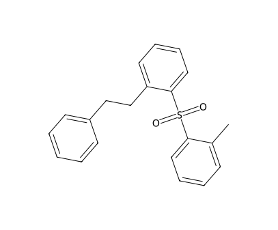 Cc1ccccc1S(=O)(=O)c1ccccc1CCc1ccccc1